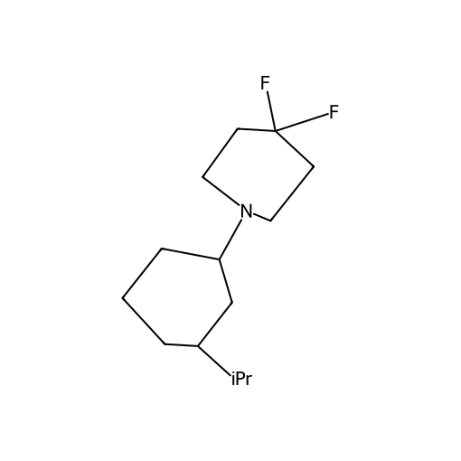 CC(C)C1CCCC(N2CCC(F)(F)CC2)C1